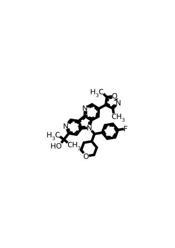 Cc1noc(C)c1-c1cnc2c3cnc(C(C)(C)O)cc3n(C(c3ccc(F)cc3)C3CCOCC3)c2c1